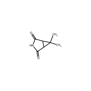 CC1(C)C2C(=O)NC(=O)C21